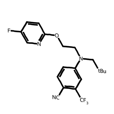 CC(C)(C)CN(CCOc1ccc(F)cn1)c1ccc(C#N)c(C(F)(F)F)c1